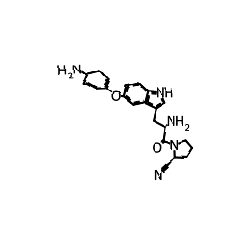 N#C[C@@H]1CCCN1C(=O)[C@@H](N)Cc1c[nH]c2ccc(OC3=CCC(N)C=C3)cc12